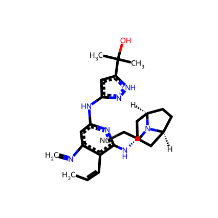 C=Nc1cc(Nc2cc(C(C)(C)O)[nH]n2)nc(N[C@@H]2C[C@H]3CC[C@@H](C2)N3CCC#N)c1/C=C\C